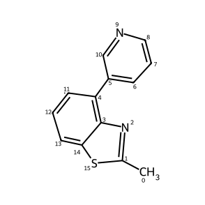 Cc1nc2c(-c3cccnc3)[c]ccc2s1